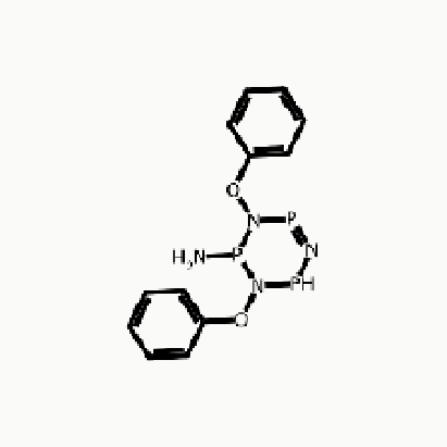 Np1n(Oc2ccccc2)pn[pH]n1Oc1ccccc1